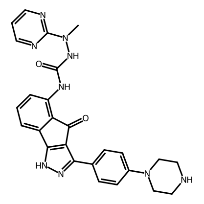 CN(NC(=O)Nc1cccc2c1C(=O)c1c(-c3ccc(N4CCNCC4)cc3)n[nH]c1-2)c1ncccn1